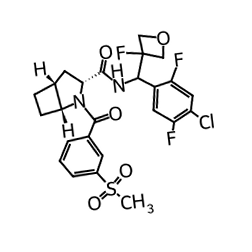 CS(=O)(=O)c1cccc(C(=O)N2[C@@H](C(=O)NC(c3cc(F)c(Cl)cc3F)C3(F)COC3)C[C@H]3CC[C@H]32)c1